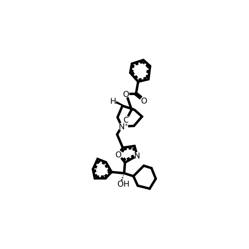 O=C(O[C@H]1C[N+]2(Cc3cnc([C@](O)(c4ccccc4)C4CCCCC4)o3)CCC1CC2)c1ccccc1